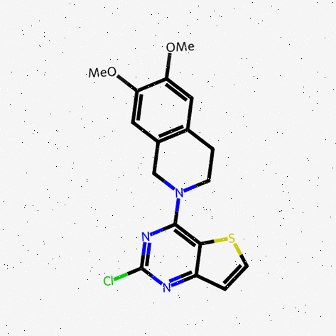 COc1cc2c(cc1OC)CN(c1nc(Cl)nc3ccsc13)CC2